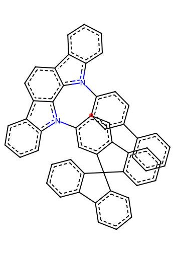 c1ccc(-c2ccc(-n3c4ccccc4c4ccc5c6ccccc6n(-c6ccc7c(c6)C6(c8ccccc8-c8ccccc86)c6ccccc6-7)c5c43)cc2)cc1